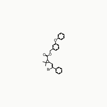 CC1(C)C(C=C(Br)c2ccccc2)C1C(=O)OCc1cccc(Oc2ccccc2)c1